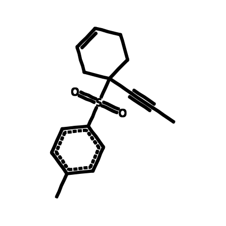 CC#CC1(S(=O)(=O)c2ccc(C)cc2)CC=CCC1